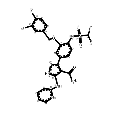 NC(=O)c1c(-c2ccc(NS(=O)(=O)C(F)F)c(OCc3ccc(F)c(F)c3)c2)n[nH]c1Nc1ccccn1